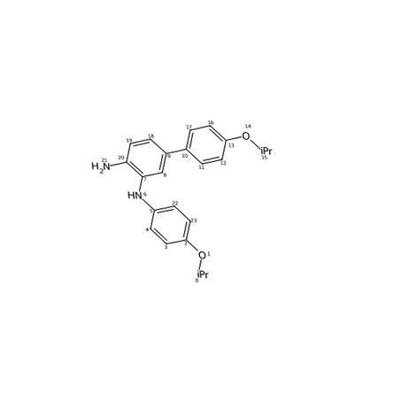 CC(C)Oc1ccc(Nc2cc(-c3ccc(OC(C)C)cc3)ccc2N)cc1